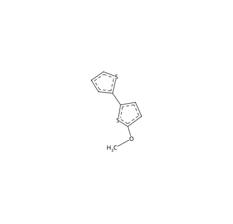 COc1ccc(-c2cccs2)s1